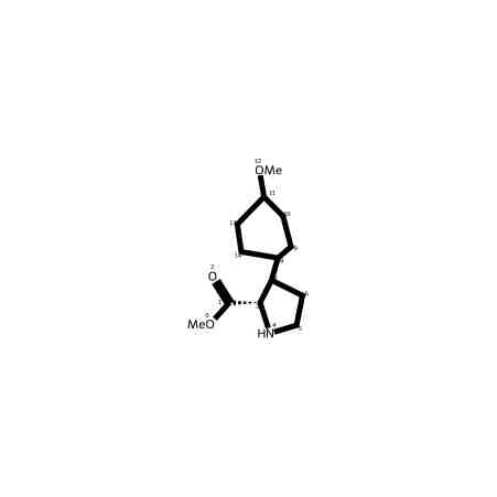 COC(=O)[C@H]1NCCC1C1CCC(OC)CC1